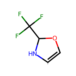 FC(F)(F)C1N[C]=CO1